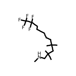 CNCC(C)(C)CC(C)(C)CCCCCC(F)(F)C(F)(F)F